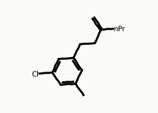 C=C(CCC)CCc1cc(C)cc(Cl)c1